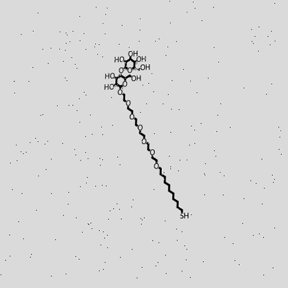 OCC1O[C@@H](OCCOCCOCCOCCOCCOCCOCCCCCCCCCCCS)[C@@H](O)C(O)[C@@H]1O[C@@H]1O[C@@H](CO)[C@H](O)C(O)C1O